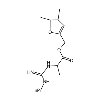 CCCNC(=N)NC(C)C(=O)OCC1=CC(C)C(C)O1